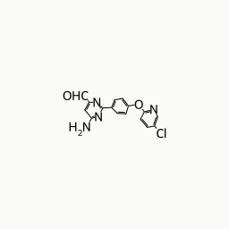 Nc1cc(C=O)nc(-c2ccc(Oc3ccc(Cl)cn3)cc2)n1